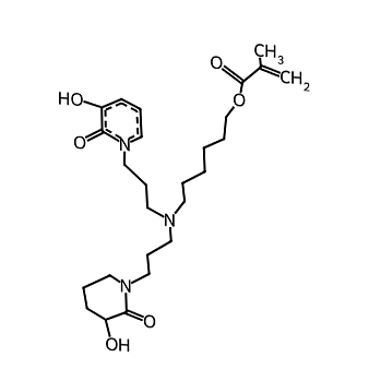 C=C(C)C(=O)OCCCCCCN(CCCN1CCCC(O)C1=O)CCCn1cccc(O)c1=O